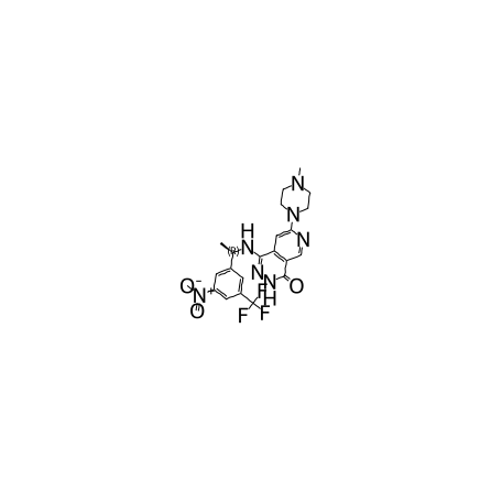 C[C@@H](Nc1n[nH]c(=O)c2cnc(N3CCN(C)CC3)cc12)c1cc([N+](=O)[O-])cc(C(F)(F)F)c1